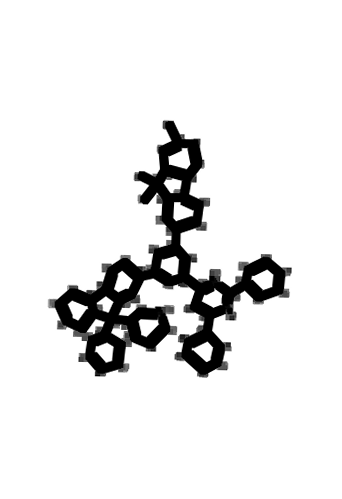 Cc1ccc2c(c1)C(C)(C)c1cc(-c3cc(-c4ccc5c(c4)C(c4ccccc4)(c4cccnc4)c4ccccc4-5)cc(-c4cc(-c5ccccc5)nc(-c5ccccc5)n4)c3)ccc1-2